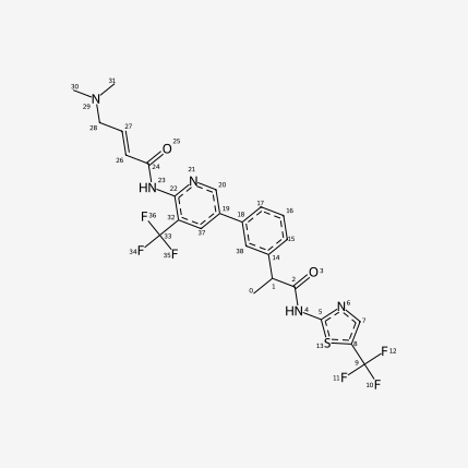 CC(C(=O)Nc1ncc(C(F)(F)F)s1)c1cccc(-c2cnc(NC(=O)/C=C/CN(C)C)c(C(F)(F)F)c2)c1